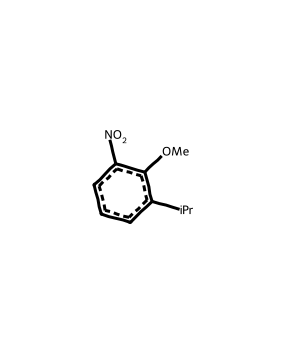 [CH2]C(C)c1cccc([N+](=O)[O-])c1OC